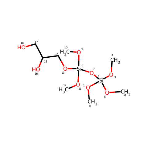 CO[Si](OC)(OC)O[Si](OC)(OC)OCC(O)CO